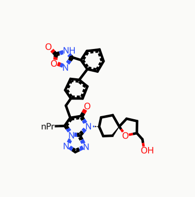 CCCc1c(Cc2ccc(-c3ccccc3-c3noc(=O)[nH]3)cc2)c(=O)n([C@H]2CC[C@]3(CCC(CO)O3)CC2)c2ncnn12